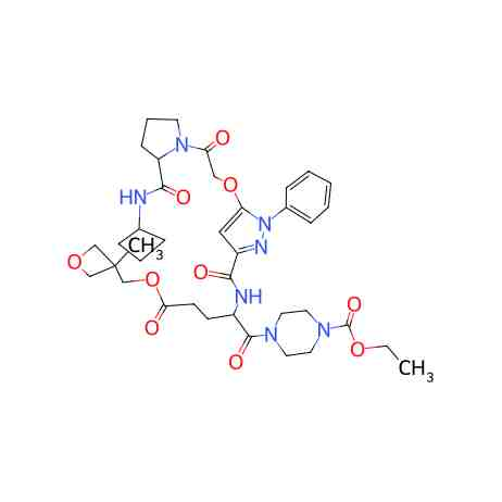 CCOC(=O)N1CCN(C(=O)C(CCC(=O)OCC2(C)COC2)NC(=O)c2cc(OCC(=O)N3CCCC3C(=O)NC3CCC3)n(-c3ccccc3)n2)CC1